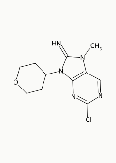 Cn1c(=N)n(C2CCOCC2)c2nc(Cl)ncc21